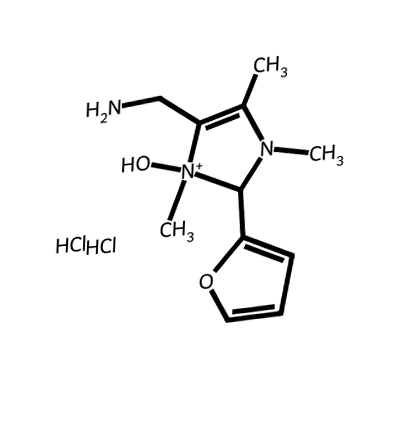 CC1=C(CN)[N+](C)(O)C(c2ccco2)N1C.Cl.Cl